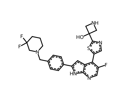 OC1(c2ncc(-c3c(F)cnc4[nH]c(-c5ccc(CN6CCCC(F)(F)C6)cc5)cc34)s2)CNC1